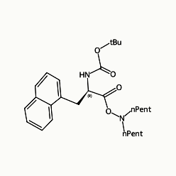 CCCCCN(CCCCC)OC(=O)[C@@H](Cc1cccc2ccccc12)NC(=O)OC(C)(C)C